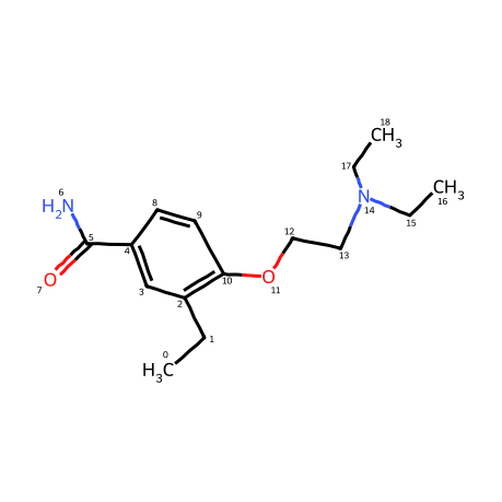 CCc1cc(C(N)=O)ccc1OCCN(CC)CC